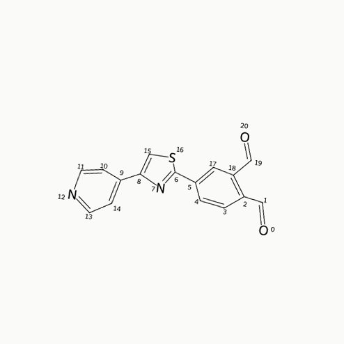 O=Cc1ccc(-c2nc(-c3ccncc3)cs2)cc1C=O